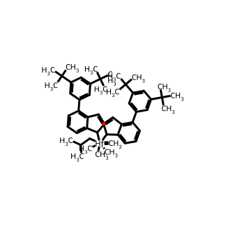 [CH2]=[Hf]([CH3])([CH3])([CH3])([CH2]C(C)C)([CH]1C=Cc2c(-c3cc(C(C)(C)C)cc(C(C)(C)C)c3)cccc21)[CH]1C=Cc2c(-c3cc(C(C)(C)C)cc(C(C)(C)C)c3)cccc21